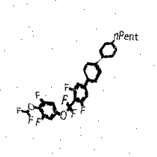 CCCCC[C@H]1CC[C@H](C2CCC(c3cc(F)c(C(F)(F)Oc4cc(F)c(OC(F)F)c(F)c4)c(F)c3)CC2)CC1